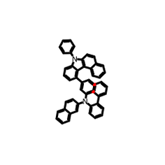 c1ccc(-c2ccccc2N(c2cccc(-c3cccc4c3c3c5ccccc5ccc3n4-c3ccccc3)c2)c2ccc3ccccc3c2)cc1